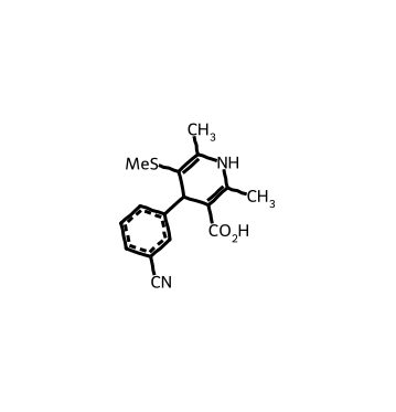 CSC1=C(C)NC(C)=C(C(=O)O)C1c1cccc(C#N)c1